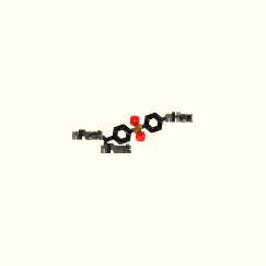 CCCCCCc1ccc(S(=O)(=O)c2ccc(C(CCCCC)CCCCC)cc2)cc1